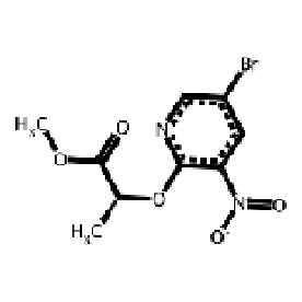 COC(=O)[C@H](C)Oc1ncc(Br)cc1[N+](=O)[O-]